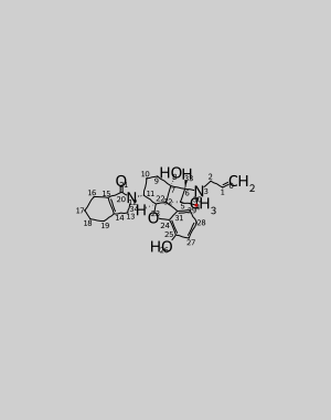 C=CCN1CC2[C@@H]1[C@]1(O)CC[C@@H](N3CC4=C(CCCC4)C3=O)[C@@H]3Oc4c(O)ccc(C)c4[C@@]231